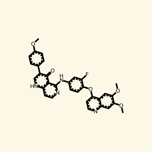 COc1ccc(-c2c[nH]c3ccnc(Nc4ccc(Oc5ccnc6cc(OC)c(OC)cc56)c(F)c4)c3c2=O)cc1